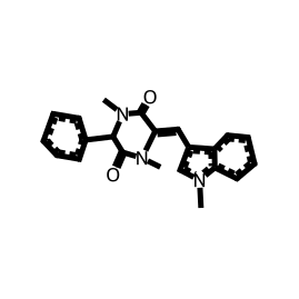 CN1C(=O)C(c2ccccc2)N(C)C(=O)/C1=C/c1cn(C)c2ccccc12